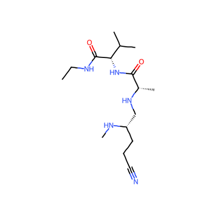 CCNC(=O)[C@@H](NC(=O)[C@H](C)NC[C@H](CCC#N)NC)C(C)C